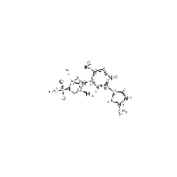 CCCS(=O)(=O)N1C[C@@H]2C[C@@H]1CN2c1nc(-c2cnn(C)c2)ncc1C#N